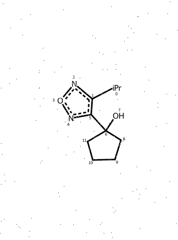 CC(C)c1nonc1C1(O)CCCC1